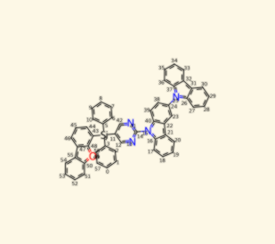 c1ccc([Si](c2ccccc2)(c2cnc(-n3c4ccccc4c4cc(-n5c6ccccc6c6ccccc65)ccc43)nc2)c2cccc3c2oc2ccccc23)cc1